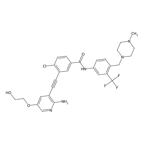 CN1CCN(Cc2ccc(NC(=O)c3ccc(Cl)c(C#Cc4cc(OCCO)cnc4N)c3)cc2C(F)(F)F)CC1